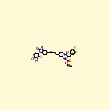 Cn1c(=O)n(C2CCC(=O)NC2=O)c2ccc(C#CCCC3CCN(C(=O)C(Cc4ccc(F)c(F)c4)NC(=O)OC(C)(C)C)CC3)cc21